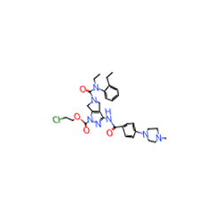 CCc1ccccc1N(CC)C(=O)N1Cc2c(NC(=O)c3ccc(N4CCN(C)CC4)cc3)nn(C(=O)OCCCl)c2C1